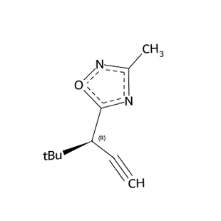 C#C[C@H](c1nc(C)no1)C(C)(C)C